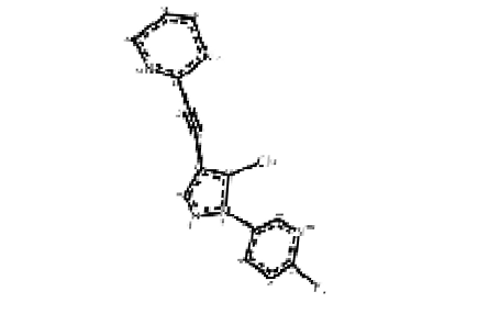 Fc1ccc(-n2ncc(C#Cc3ncccn3)c2Cl)cn1